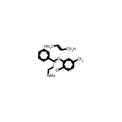 CNCC[C@@H](Oc1cc(C(F)(F)F)ccc1Cl)c1ccccc1.O=C(O)/C=C/C(=O)O